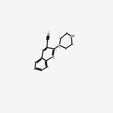 N#Cc1cc2ccccc2nc1N1CCNCC1